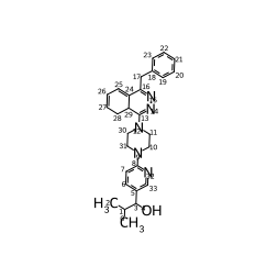 CC(C)C(O)c1ccc(N2CCN(C3=NN=C(Cc4ccccc4)C4=CC=CCC43)CC2)nc1